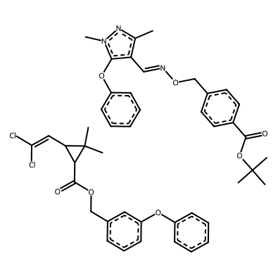 CC1(C)C(C=C(Cl)Cl)C1C(=O)OCc1cccc(Oc2ccccc2)c1.Cc1nn(C)c(Oc2ccccc2)c1/C=N/OCc1ccc(C(=O)OC(C)(C)C)cc1